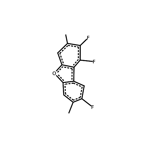 Cc1cc2oc3cc(C)c(F)c(F)c3c2cc1F